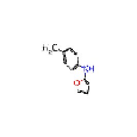 [CH2]c1ccc(Nc2ccco2)cc1